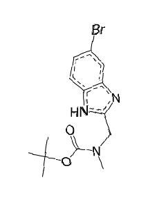 CN(Cc1nc2cc(Br)ccc2[nH]1)C(=O)OC(C)(C)C